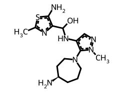 Cc1nc(C(O)Nc2cnn(C)c2N2CCC[C@@H](N)CC2)c(N)s1